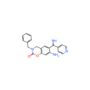 N=C(c1ccncc1)c1cc2c(cc1N)OC(=O)N(Cc1ccccc1)C2